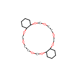 C1CCC2OCOCCOCOC3CCCCC3OCOCCOCOC2C1